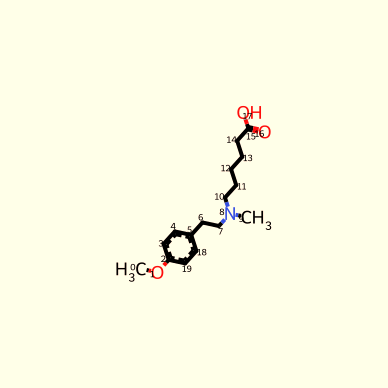 COc1ccc(CCN(C)CCCCCC(=O)O)cc1